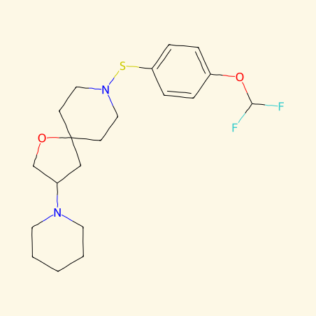 FC(F)Oc1ccc(SN2CCC3(CC2)CC(N2CCCCC2)CO3)cc1